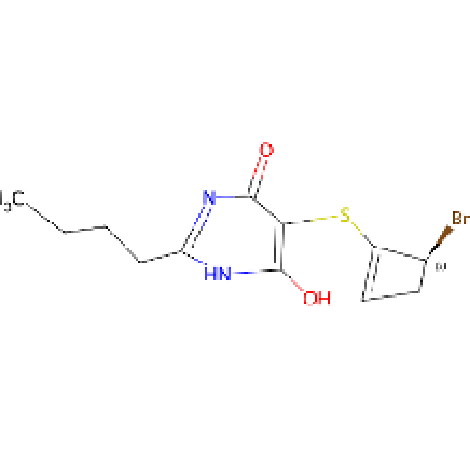 CCCCc1nc(=O)c(SC2=CC[C@@H]2Br)c(O)[nH]1